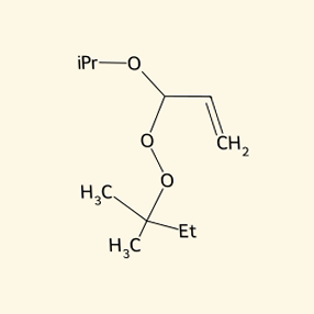 [C]C(C)OC(C=C)OOC(C)(C)CC